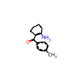 Cc1ccc(C(=O)C2=C(N)CCCC2)cc1